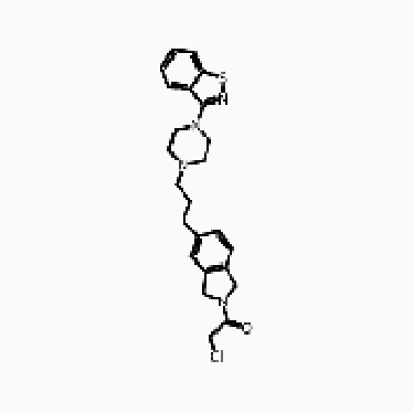 O=C(CCl)N1Cc2ccc(CCCN3CCN(c4nsc5ccccc45)CC3)cc2C1